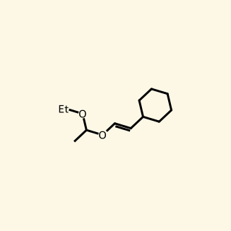 CCOC(C)OC=CC1CCCCC1